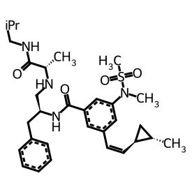 CC(C)CNC(=O)[C@H](C)NC[C@H](Cc1ccccc1)NC(=O)c1cc(/C=C\[C@H]2C[C@@H]2C)cc(N(C)S(C)(=O)=O)c1